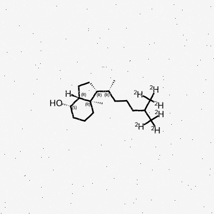 [2H]C([2H])([2H])C(CCC[C@@H](C)[C@H]1CC[C@H]2[C@@H](O)CCC[C@]12C)C([2H])([2H])[2H]